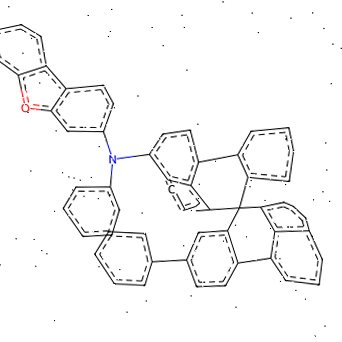 c1ccc(-c2ccc3c(c2)C2(c4ccccc4-c4ccc(N(c5ccccc5)c5ccc6c(c5)oc5ccccc56)c5cccc2c45)c2cccc4cccc-3c24)cc1